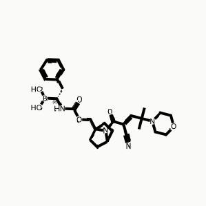 CC(C)(C=C(C#N)C(=O)N1C2CCC1(COC(=O)N[C@@H](Cc1ccccc1)B(O)O)CC2)N1CCOCC1